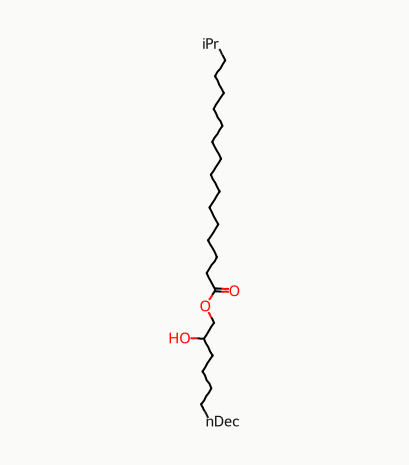 CCCCCCCCCCCCCCC(O)COC(=O)CCCCCCCCCCCCCCC(C)C